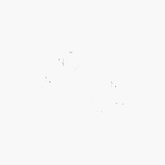 Nc1ccc(Oc2cccc3cccnc23)c2cccnc12